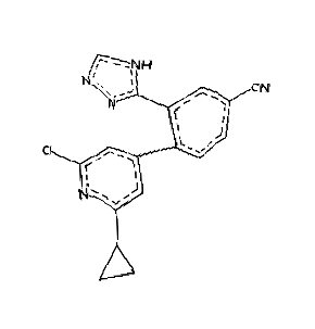 N#Cc1ccc(-c2cc(Cl)nc(C3CC3)c2)c(-c2nnc[nH]2)c1